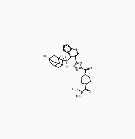 CN(C)C(=O)N1CCN(C(=O)c2noc(-c3cnc4[nH]ccc4c3N[C@H]3[C@@H]4CC5C[C@H]3C[C@@](O)(C5)C4)n2)CC1